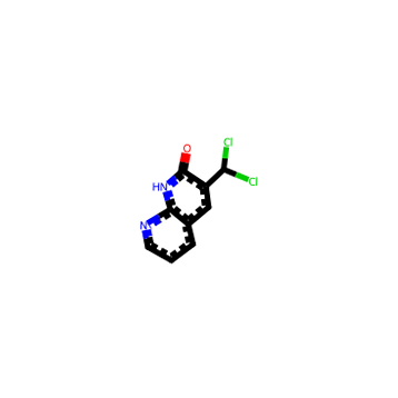 O=c1[nH]c2ncccc2cc1C(Cl)Cl